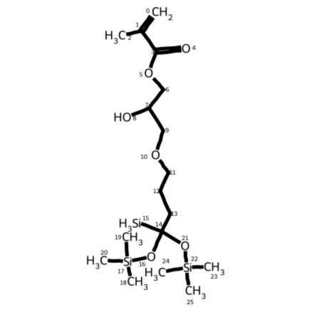 C=C(C)C(=O)OCC(O)COCCCC([SiH3])(O[Si](C)(C)C)O[Si](C)(C)C